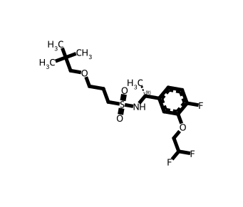 C[C@@H](NS(=O)(=O)CCCOCC(C)(C)C)c1ccc(F)c(OCC(F)F)c1